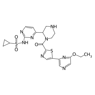 CCOc1cncc(-c2cnc(C(=O)N3CCNCC3c3ccnc(NS(=O)(=O)C4CC4)n3)s2)n1